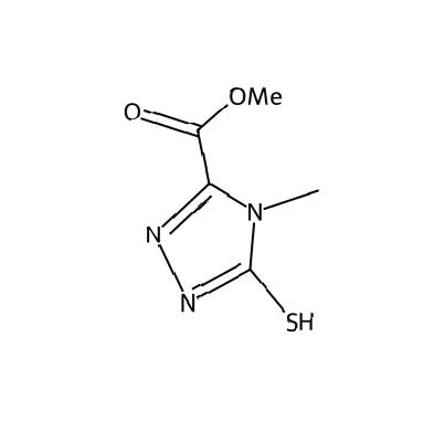 COC(=O)c1nnc(S)n1C